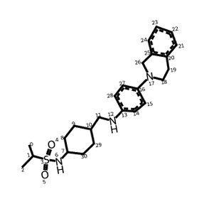 CC(C)S(=O)(=O)NC1CCC(CNc2ccc(N3CCc4ccccc4C3)cc2)CC1